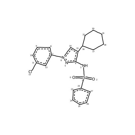 O=S(=O)(Nc1nn(-c2cccc(Cl)c2)cc1C1CCCCC1)c1ccccc1